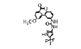 COc1ccc2c(=O)oc3ccc(NC(=O)Nc4cc(C(F)(F)F)[nH]n4)cc3c2c1